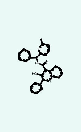 Cc1cccc(C(NC(=O)c2c(O)c(-c3ccccc3)nc3ccccc23)c2ccccc2)n1